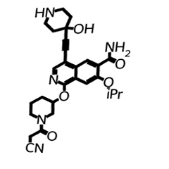 CC(C)Oc1cc2c(OC3CCCN(C(=O)CC#N)C3)ncc(C#CC3(O)CCNCC3)c2cc1C(N)=O